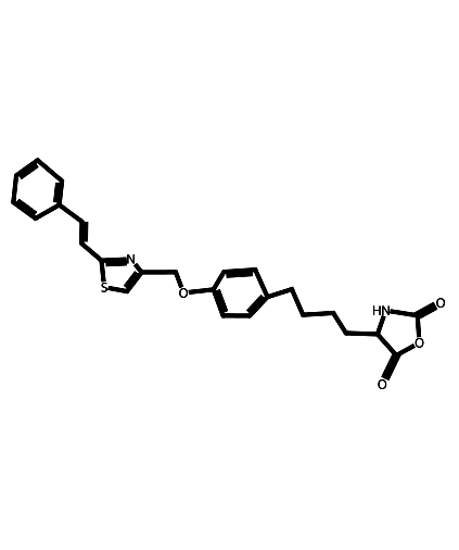 O=C1NC(CCCCc2ccc(OCc3csc(C=Cc4ccccc4)n3)cc2)C(=O)O1